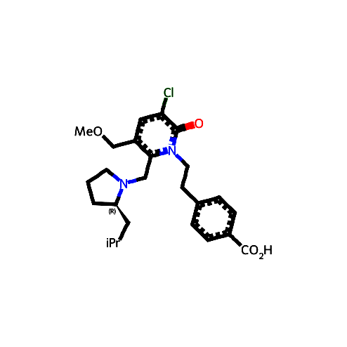 COCc1cc(Cl)c(=O)n(CCc2ccc(C(=O)O)cc2)c1CN1CCC[C@@H]1CC(C)C